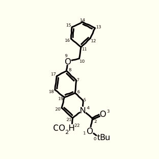 CC(C)(C)OC(=O)N1Cc2cc(OCc3ccccc3)ccc2C=C1C(=O)O